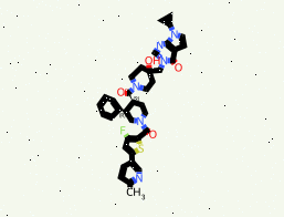 Cc1ccc(-c2cc(F)c(C(=O)N3CC[C@@H](C(=O)N4CCC(O)(Cn5cnc6c(ccn6C6CC6)c5=O)CC4)[C@H](c4ccccc4)C3)s2)cn1